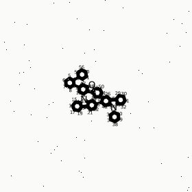 c1ccc(-c2ccccc2-c2cc(-n3c4ccccc4c4ccc(-c5ccc6c7ccccc7n(-c7ccccc7)c6c5)cc43)c3c(c2)oc2ccccc23)cc1